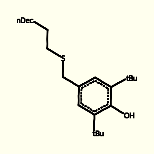 CCCCCCCCCCCCSCc1cc(C(C)(C)C)c(O)c(C(C)(C)C)c1